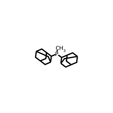 CP(C1C2CC3CC(C2)CC1C3)C1C2CC3CC(C2)CC1C3